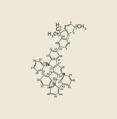 CC1C=CC2=C(C1)c1ccc(-c3ccc4c(c3)c3ccc5c(c3n4-c3ccccc3)-c3ccccc3C53c4ccccc4-c4ccccc43)cc1C2(C)C